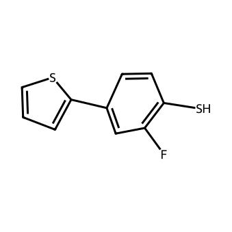 Fc1cc(-c2cccs2)ccc1S